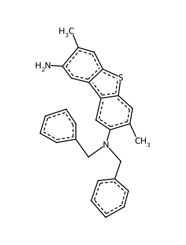 Cc1cc2sc3cc(C)c(N(Cc4ccccc4)Cc4ccccc4)cc3c2cc1N